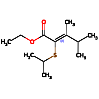 CCOC(=O)/C(SC(C)C)=C(\C)C(C)C